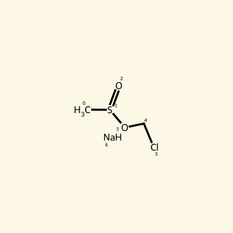 CS(=O)OCCl.[NaH]